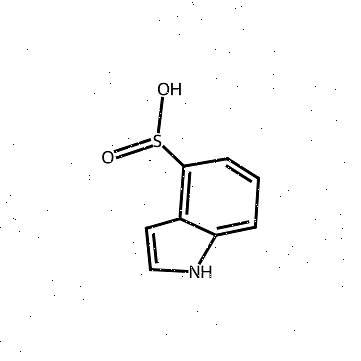 O=S(O)c1cccc2[nH]ccc12